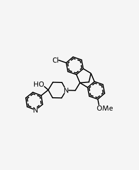 COc1ccc2c(c1)C1(CN3CCC(O)(c4cccnc4)CC3)CC2c2ccc(Cl)cc21